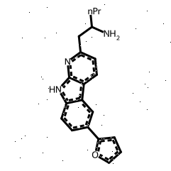 CCCC(N)Cc1ccc2c(n1)[nH]c1ccc(-c3ccco3)cc12